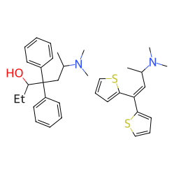 CC(C=C(c1cccs1)c1cccs1)N(C)C.CCC(O)C(CC(C)N(C)C)(c1ccccc1)c1ccccc1